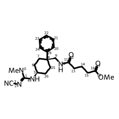 CN/C(=N\C#N)N[C@H]1CC[C@](CNC(=O)CCCC(=O)OC)(c2ccccc2)CC1